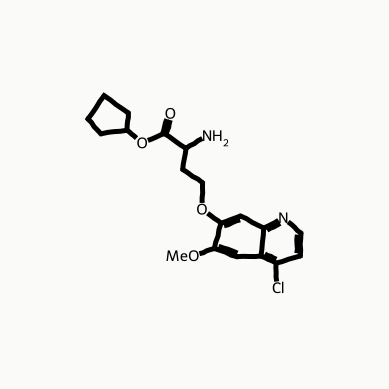 COc1cc2c(Cl)ccnc2cc1OCCC(N)C(=O)OC1CCCC1